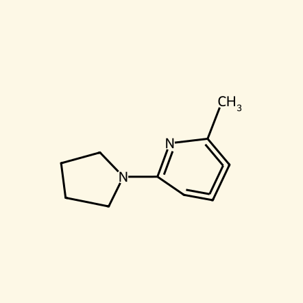 CC1=C=C=CC(N2CCCC2)=N1